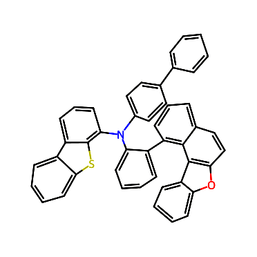 c1ccc(-c2ccc(N(c3ccccc3-c3cccc4ccc5oc6ccccc6c5c34)c3cccc4c3sc3ccccc34)cc2)cc1